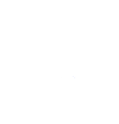 C=C(CCc1ccc(C)cc1)N(CCC)CCC